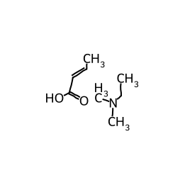 C/C=C/C(=O)O.CCN(C)C